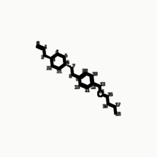 C=CC[C@H]1CC[C@H](CCc2ccc(COCCCC)cc2)CC1